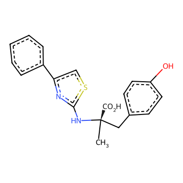 C[C@@](Cc1ccc(O)cc1)(Nc1nc(-c2ccccc2)cs1)C(=O)O